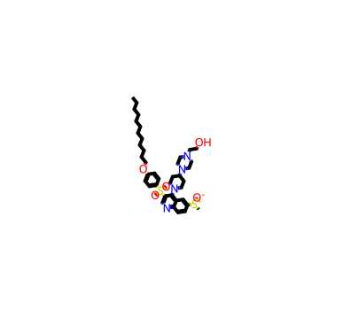 CCCCCCCCCCCCOc1ccc(S(=O)(=O)c2cnc3ccc([S+](C)[O-])cc3c2N2CCC(N3CCN(CCO)CC3)CC2)cc1